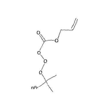 C=CCOC(=O)OOOC(C)(C)CCC